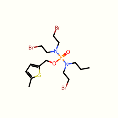 CCCN(CCBr)P(=O)(OCc1ccc(C)s1)N(CCBr)CCBr